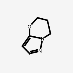 [c]1cc2n(n1)CCCO2